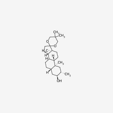 C[C@H]1C[C@@]2(C)[C@@H](CC[C@@H]3[C@@H]2CC[C@@]2(C)[C@H]3CCC23OCC(C)(C)CO3)C[C@@H]1O